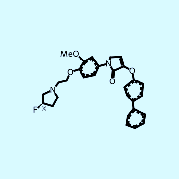 COc1cc(N2CC=C(Oc3ccc(-c4ccccc4)cc3)C2=O)ccc1OCCN1CC[C@@H](F)C1